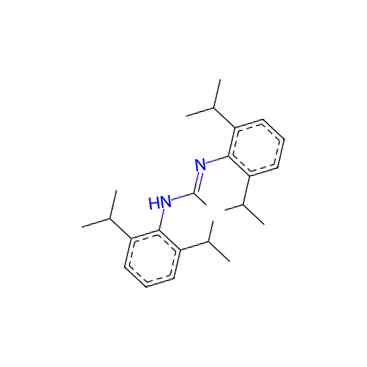 CC(=Nc1c(C(C)C)cccc1C(C)C)Nc1c(C(C)C)cccc1C(C)C